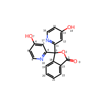 O=C1OC(c2cc(O)ccn2)(c2cc(O)ccn2)c2ccccc21